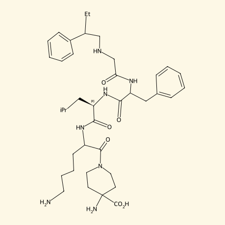 CCC(CNCC(=O)NC(Cc1ccccc1)C(=O)N[C@H](CC(C)C)C(=O)NC(CCCCN)C(=O)N1CCC(N)(C(=O)O)CC1)c1ccccc1